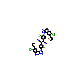 N#CC(c1ccc(-n2cnc3cnc4cc(Cl)c(-c5cccs5)cc4c32)c(Cl)c1)C(C#N)c1ccc(-n2cnc3cnc4cc(Cl)c(-c5cccs5)cc4c32)c(Cl)c1